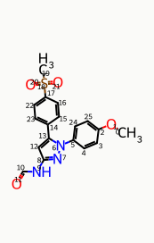 COc1ccc(-n2nc(NC=O)cc2-c2ccc(S(C)(=O)=O)cc2)cc1